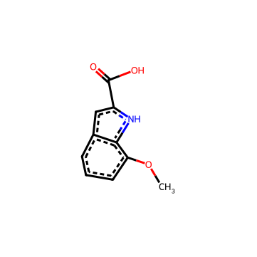 COc1cccc2cc(C(=O)O)[nH]c12